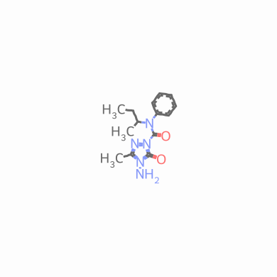 CCC(C)N(C(=O)n1nc(C)n(N)c1=O)c1ccccc1